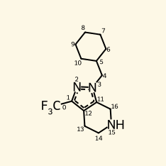 FC(F)(F)c1nn(CC2CCCCC2)c2c1CCNC2